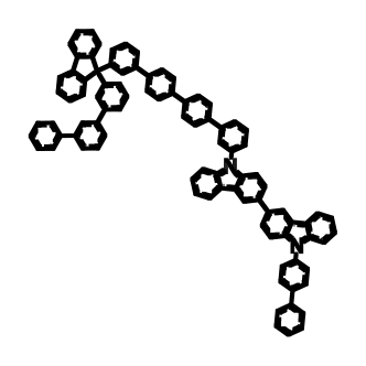 c1ccc(-c2ccc(-n3c4ccccc4c4cc(-c5ccc6c(c5)c5ccccc5n6-c5cccc(-c6ccc(-c7ccc(-c8cccc(C9(c%10cccc(-c%11cccc(-c%12ccccc%12)c%11)c%10)c%10ccccc%10-c%10ccccc%109)c8)cc7)cc6)c5)ccc43)cc2)cc1